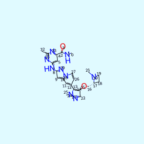 CNC(=O)c1cc(Nc2cc3cc(-c4c(OC[C@H]5CCN5C)cnn4C)ccn3n2)nc(C)n1